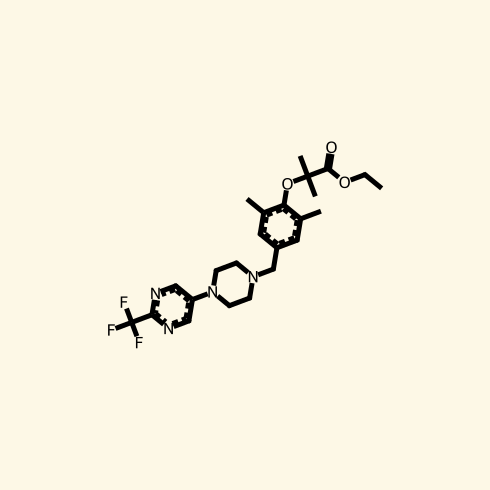 CCOC(=O)C(C)(C)Oc1c(C)cc(CN2CCN(c3cnc(C(F)(F)F)nc3)CC2)cc1C